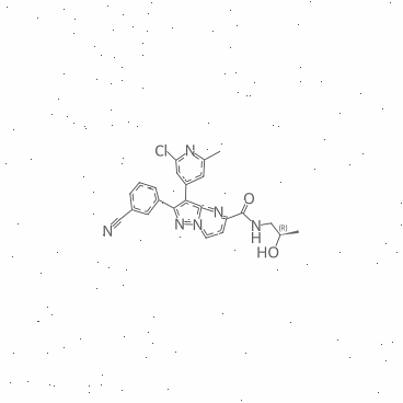 Cc1cc(-c2c(-c3cccc(C#N)c3)nn3ccc(C(=O)NC[C@@H](C)O)nc23)cc(Cl)n1